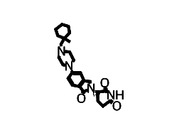 CC1(CN2CCN(c3ccc4c(c3)CN([C@H]3CCC(=O)NC3=O)C4=O)CC2)CCCCC1